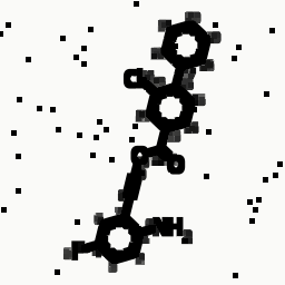 Nc1ccc(F)cc1C#COC(=O)c1ccc(-c2ccccc2)c(Cl)c1